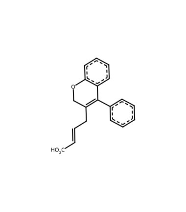 O=C(O)C=CCC1=C(c2ccccc2)c2ccccc2OC1